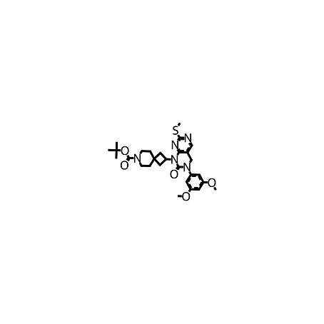 COc1cc(OC)cc(N2Cc3cnc(SC)nc3N(C3CC4(CCN(C(=O)OC(C)(C)C)CC4)C3)C2=O)c1